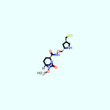 O=C(NOC[C@@H]1C[C@@H](CS)CN1)[C@@H]1CC[C@@H]2CN1C(=O)N2OS(=O)(=O)O